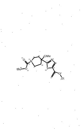 C=C(OCC)c1cnc(C2(OC)CCN(C(=O)OC(C)(C)C)CC2)s1